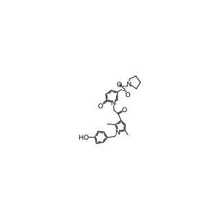 Cc1cc(C(=O)Cn2cc(S(=O)(=O)N3CCCC3)ccc2=O)c(C)n1Cc1ccc(O)cc1